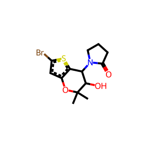 CC1(C)Oc2cc(Br)sc2C(N2CCCC2=O)C1O